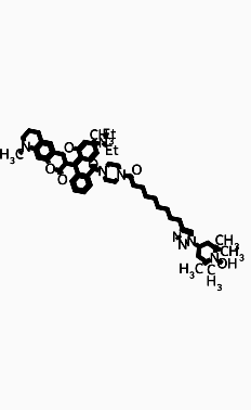 CCN(CC)C1(C)C=CC2=C(c3ccccc3C(=O)N3CCN(C(=O)CCCCCCCCc4cn(C5CC(C)(C)N(O)C(C)(C)C5)nn4)CC3)C3C(=O)Oc4cc5c(cc4C3OC2=C1)CCCN5C